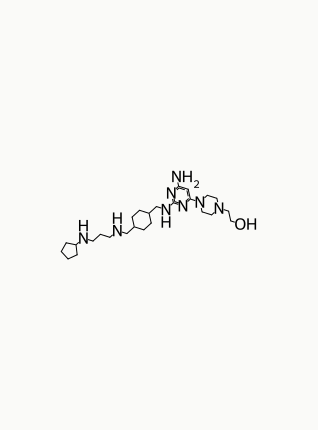 Nc1cc(N2CCN(CCO)CC2)nc(NCC2CCC(CNCCCNC3CCCC3)CC2)n1